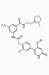 CCOc1cc(=O)[nH]cc1-c1ccc(CC(=O)Nc2cc(C(=O)NCCN3CCCC3C)cc(C(F)(F)F)c2)c(F)c1